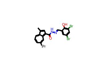 Cc1cc(C(=O)N/N=C/c2cc(Br)cc(Br)c2O)c2cc(C(C)C)cccc1-2